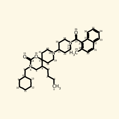 CCCCC1CN(CC2CCCCC2)C(=O)OC12CCN(C1CCN(C(=O)c3c(C)ccc4ccccc34)CC1)CC2